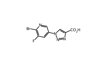 O=C(O)c1cn(-c2cnc(Br)c(F)c2)nn1